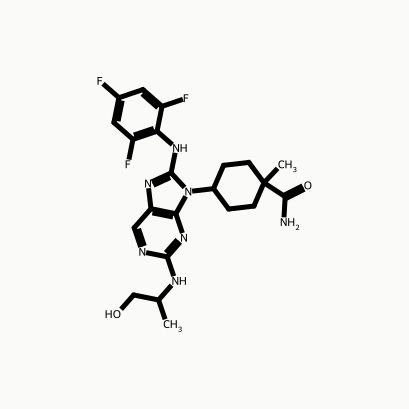 CC(CO)Nc1ncc2nc(Nc3c(F)cc(F)cc3F)n(C3CCC(C)(C(N)=O)CC3)c2n1